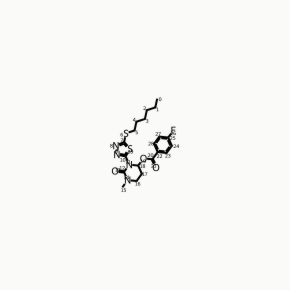 CCCCCCSc1nnc(N2C(=O)N(C)CCC2OC(=O)c2ccc(F)cc2)s1